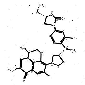 CC(=O)NC[C@H]1CN(c2ccc(N(C)[C@@H]3CCN(c4c(F)cc5c(=O)c(C(=O)O)cn6c5c4OC[C@@H]6C)C3)c(F)c2)C(=O)O1